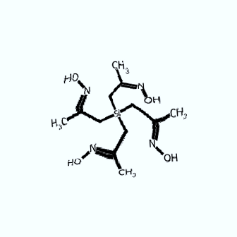 CC(C[Si](CC(C)=NO)(CC(C)=NO)CC(C)=NO)=NO